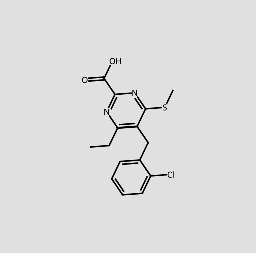 CCc1nc(C(=O)O)nc(SC)c1Cc1ccccc1Cl